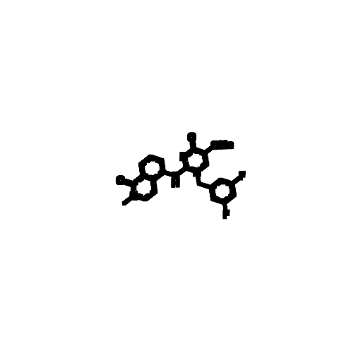 COc1cn(Cc2cc(F)cc(F)c2)c(Nc2cccc3c(=O)n(C)ccc23)nc1=O